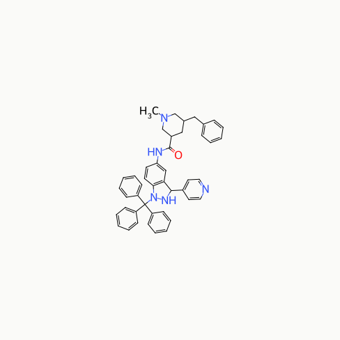 CN1CC(Cc2ccccc2)CC(C(=O)Nc2ccc3c(c2)C(c2ccncc2)NN3C(c2ccccc2)(c2ccccc2)c2ccccc2)C1